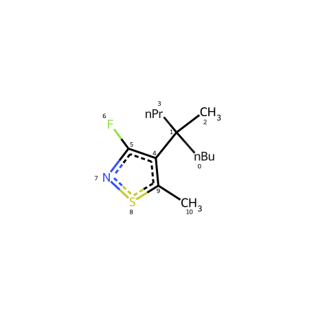 CCCCC(C)(CCC)c1c(F)nsc1C